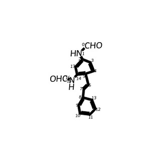 O=CNc1ccc(C=Cc2ccccc2)c(NC=O)c1